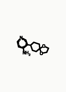 Nc1ccncc1C1CCC2(CC1)OCCO2